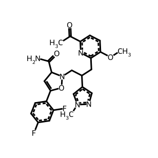 COc1ccc(C(C)=O)nc1CC(CN1OC(c2ccc(F)cc2F)=CC1C(N)=O)c1cnn(C)c1